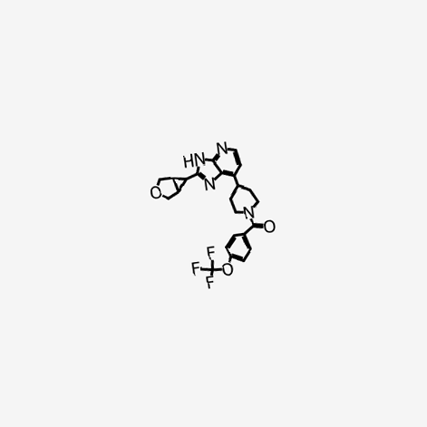 O=C(c1ccc(OC(F)(F)F)cc1)N1CCC(c2ccnc3[nH]c(C4C5COCC54)nc23)CC1